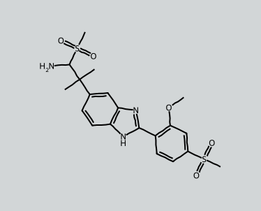 COc1cc(S(C)(=O)=O)ccc1-c1nc2cc(C(C)(C)C(N)S(C)(=O)=O)ccc2[nH]1